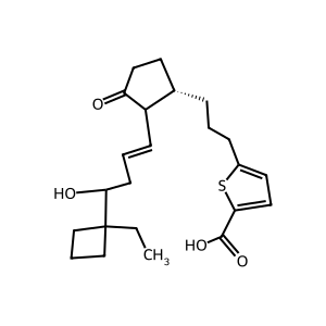 CCC1(C(O)C/C=C/C2C(=O)CC[C@@H]2CCCc2ccc(C(=O)O)s2)CCC1